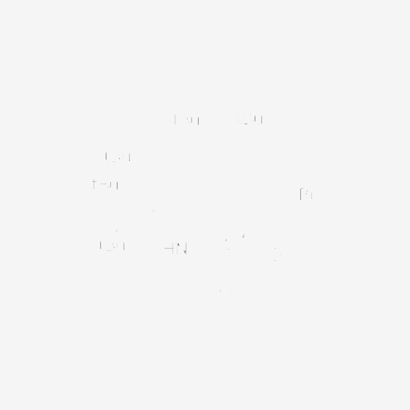 CC(C)(C)C1C(C(C)(C)C)S(=O)(=O)NC(C(C)(C)C)(C(C)(C)C)C1(C(C)(C)C)C(C)(C)C